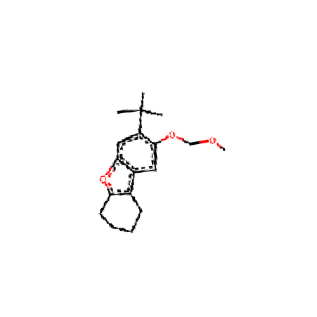 COCOc1cc2c3c(oc2cc1C(C)(C)C)CCCC3